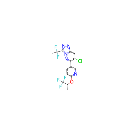 C[C@@H](Oc1ccc(-c2nn3c(C(C)(F)F)nnc3cc2Cl)cn1)C(F)(F)F